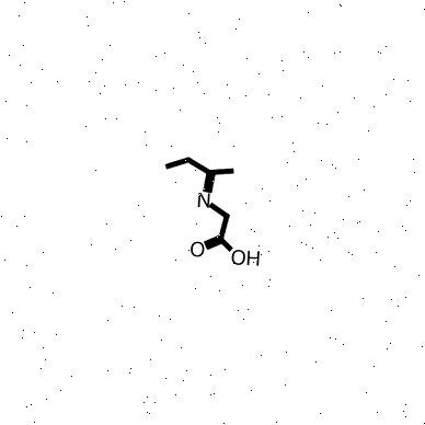 CCC(C)=NCC(=O)O